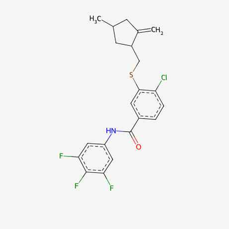 C=C1CC(C)CC1CSc1cc(C(=O)Nc2cc(F)c(F)c(F)c2)ccc1Cl